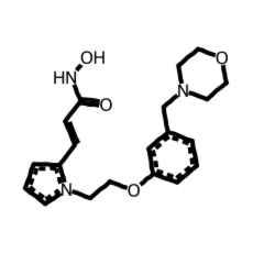 O=C(C=Cc1cccn1CCOc1cccc(CN2CCOCC2)c1)NO